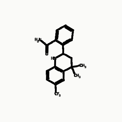 CC1(C)CC(c2ccccc2C(N)=O)Nc2ccc(C(F)(F)F)cc21